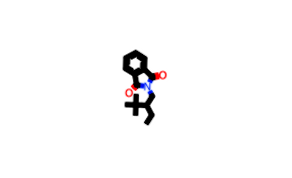 CCC(CN1C(=O)c2ccccc2C1=O)C(C)(C)C